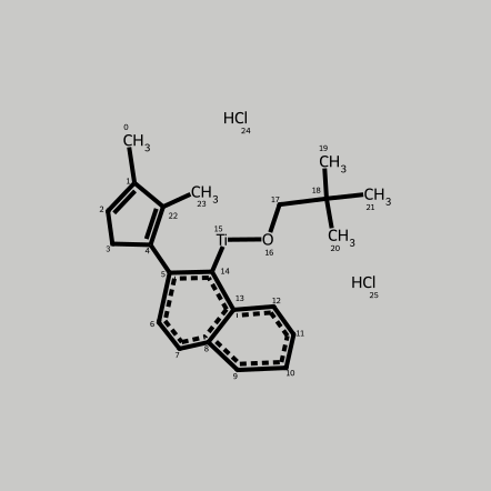 CC1=CCC(c2ccc3ccccc3[c]2[Ti][O]CC(C)(C)C)=C1C.Cl.Cl